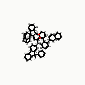 CC1(c2ccccc2)c2ccccc2-c2ccc(N(c3ccc4c(c3)C3(c5ccccc5-4)C4CC5CC(C4)CC3C5)c3cccc(-c4ccc5ccccc5c4)c3-c3ccccc3)cc21